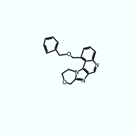 c1ccc(COCc2cccc3ncc4nc5n(c4c23)CCOC5)cc1